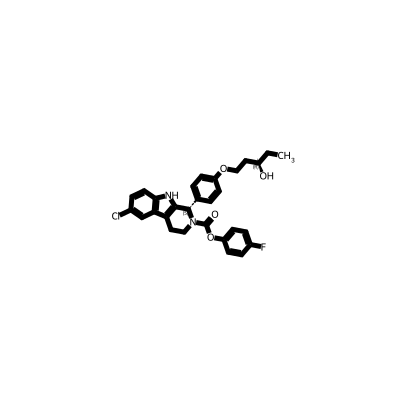 CC[C@@H](O)CCOc1ccc([C@H]2c3[nH]c4ccc(Cl)cc4c3CCN2C(=O)Oc2ccc(F)cc2)cc1